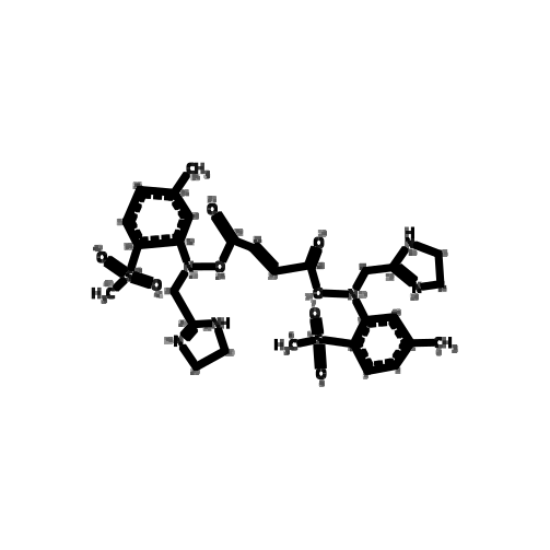 Cc1ccc(S(C)(=O)=O)c(N(CC2=NCCN2)OC(=O)/C=C/C(=O)ON(CC2=NCCN2)c2cc(C)ccc2S(C)(=O)=O)c1